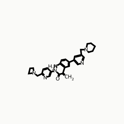 C=C(C(=O)Nc1ccc(CN2CCC2)nc1)c1cc(-c2cncc(CN3CCCCC3)c2)ccc1N